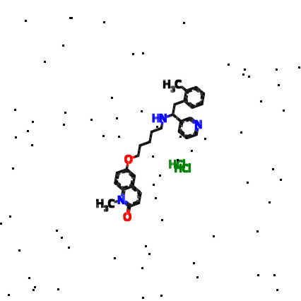 Cc1ccccc1CC(NCCCCCOc1ccc2c(ccc(=O)n2C)c1)c1cccnc1.Cl.Cl